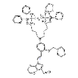 CC(C)(C)[Si](OCCCCN(CCCCO[Si](c1ccccc1)(c1ccccc1)C(C)(C)C)c1ccc(/C=C/c2sc(C=O)c3c2OCCO3)c(OCc2ccccc2)c1)(c1ccccc1)c1ccccc1